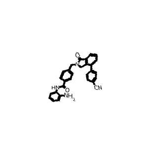 N#Cc1ccc(-c2cccc3c2CN(Cc2ccc(C(=O)Nc4ccccc4N)cc2)C3=O)cc1